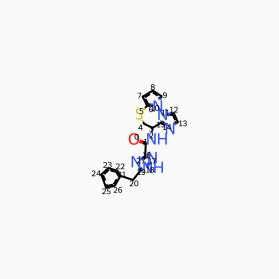 O=C(NC1CSc2cccn2-n2ccnc21)c1n[nH]c(Cc2ccccc2)n1